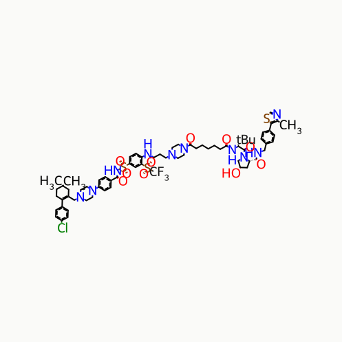 Cc1ncsc1-c1ccc(CNC(=O)[C@@H]2C[C@@H](O)CN2C(=O)[C@@H](NC(=O)CCCCCC(=O)N2CCN(CCCNc3ccc(S(=O)(=O)NC(=O)c4ccc(N5CCN(CC6=C(c7ccc(Cl)cc7)CCC(C)(C)C6)CC5)cc4)cc3S(=O)(=O)C(F)(F)F)CC2)C(C)(C)C)cc1